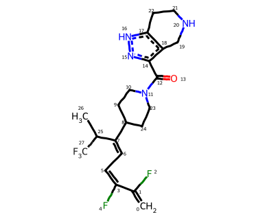 C=C(F)/C(F)=C\C=C(\C1CCN(C(=O)c2n[nH]c3c2CNCC3)CC1)C(C)C(F)(F)F